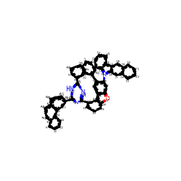 c1ccc(-c2cc3c(cc2-n2c4ccccc4c4cc5ccccc5cc42)oc2cccc(C4=NC(c5ccccc5)NC(c5ccc6ccc7ccccc7c6c5)=N4)c23)cc1